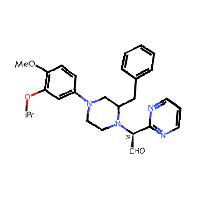 COc1ccc(N2CCN([C@H](C=O)c3ncccn3)C(Cc3ccccc3)C2)cc1OC(C)C